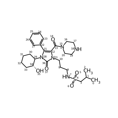 CC(C)CS(=O)(=O)NCCCn1c(C(=O)N2CCNCC2)c(-c2ccccc2)n(C2CCCC[C@H]2O)c1=O